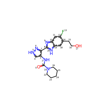 O=C(Nc1c[nH]nc1-c1nc2cc(F)c(CCO)cc2[nH]1)N1CCCCC1